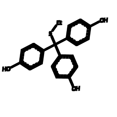 CCSC(c1ccc(O)cc1)(c1ccc(O)cc1)c1ccc(O)cc1